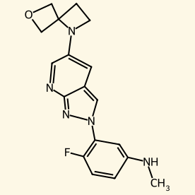 CNc1ccc(F)c(-n2cc3cc(N4CCC45COC5)cnc3n2)c1